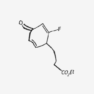 CCOC(=O)CCC1C=CC(=O)C=C1F